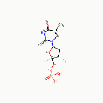 Cc1cn([C@H]2C[C@H](F)[C@@](F)(COP(=O)(O)O)O2)c(=O)[nH]c1=O